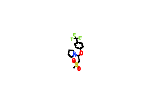 CS(=O)(=O)C[C@H](Oc1ccc(C(F)(F)F)cc1)N1CCCC1